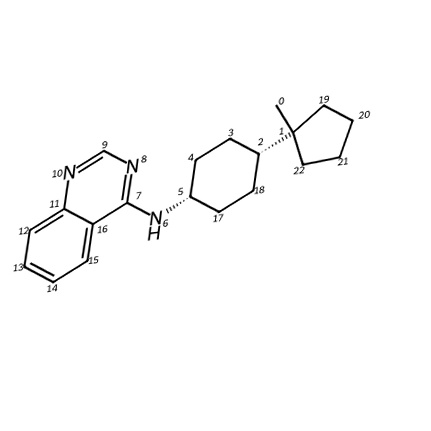 CC1([C@H]2CC[C@@H](Nc3ncnc4ccccc34)CC2)CCCC1